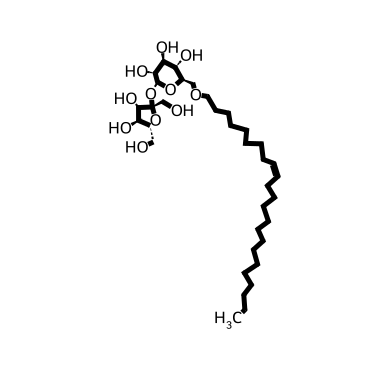 CCCCCCCCCCCCC/C=C\CCCCCCCCOC[C@H]1O[C@H](O[C@]2(CO)O[C@H](CO)[C@@H](O)[C@@H]2O)[C@H](O)[C@@H](O)[C@@H]1O